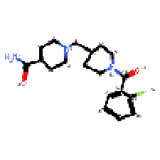 NC(=O)C1CCN(CC2CCN(C(=O)c3ccccc3F)CC2)CC1